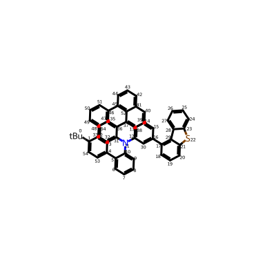 CC(C)(C)c1ccc(-c2ccccc2N(c2cccc(-c3cccc4sc5ccccc5c34)c2)c2ccccc2-c2cccc3cccc(-c4ccccc4)c23)cc1